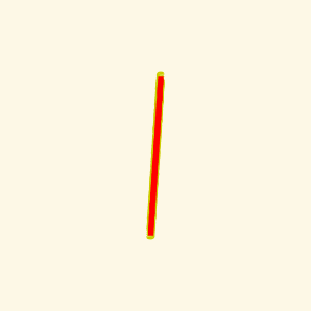 S=S=S=S=S=S=S=S=S=S=S=S=S=S=S=S=S=S=S=S=S=S=S=S=S=S=S=S=S=S=S=S=S=S=S=S=S=S=S=S=S=S=S=S=S=S=S=S=S=S=S=S=S=S=S=S=S=S=S=S=S=S=S=S=S=S=S=S=S=S=S=S=S=S=S=S=S=S=S=S=S=S=S=S=S=S=S=S=S=S=S=S=S=S=S=S=S=S=S=S=S=S=S=S=S=S=S=S=S=S=S=S=S=S=S=S